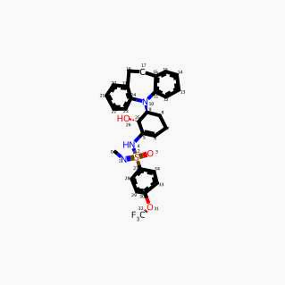 CN=S(=O)(NC1=CCC[C@H](N2c3ccccc3CCc3ccccc32)[C@H]1O)c1ccc(OC(F)(F)F)cc1